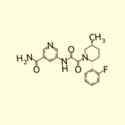 C[C@H]1CC[C@H](c2ccccc2F)N(C(=O)C(=O)Nc2cncc(C(N)=O)c2)C1